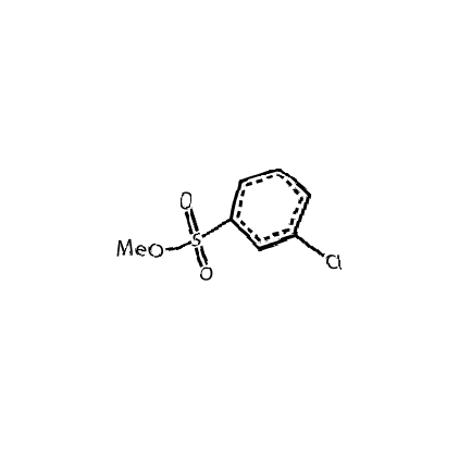 COS(=O)(=O)c1cccc(Cl)c1